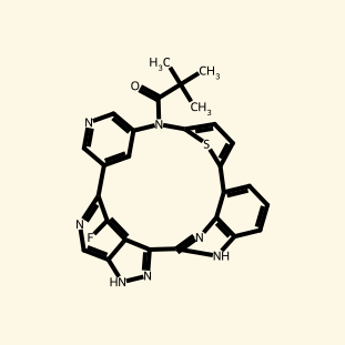 CC(C)(C)C(=O)n1c2cncc(c2)c2ncc3[nH]nc(c4nc5c(cccc5c5ccc1s5)[nH]4)c3c2F